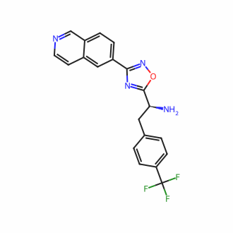 N[C@@H](Cc1ccc(C(F)(F)F)cc1)c1nc(-c2ccc3cnccc3c2)no1